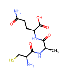 C[C@@H](NC(=O)[C@@H](N)CS)C(=O)N[C@@H](CCC(N)=O)C(=O)O